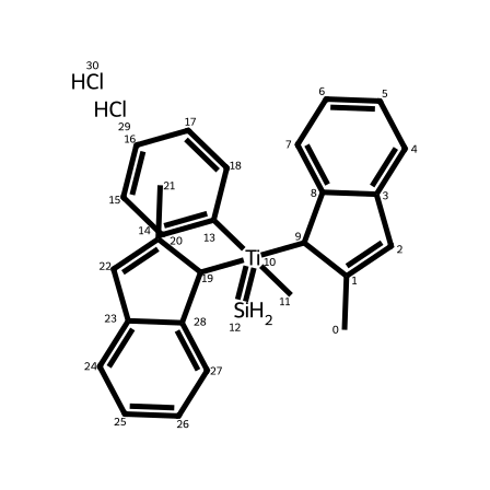 CC1=Cc2ccccc2[CH]1[Ti]([CH3])(=[SiH2])([c]1ccccc1)[CH]1C(C)=Cc2ccccc21.Cl.Cl